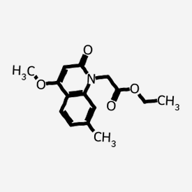 CCOC(=O)Cn1c(=O)cc(OC)c2ccc(C)cc21